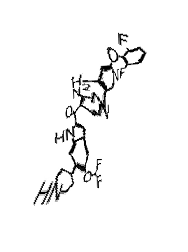 Cc1cc(Oc2c(F)cccc2F)ncc1-n1ncc(C(=O)c2cc3cc(OC(F)F)c(C4CCNCC4)cc3[nH]2)c1N